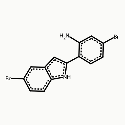 Nc1cc(Br)ccc1-c1cc2cc(Br)ccc2[nH]1